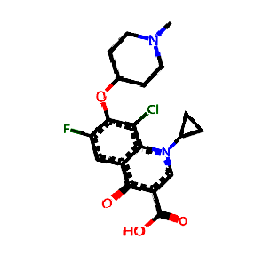 CN1CCC(Oc2c(F)cc3c(=O)c(C(=O)O)cn(C4CC4)c3c2Cl)CC1